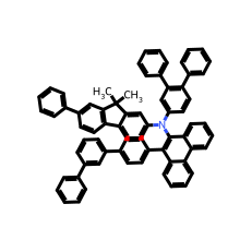 CC1(C)c2cc(-c3ccccc3)ccc2-c2ccc(N(c3ccc(-c4ccccc4)c(-c4ccccc4)c3)c3c(-c4ccc(-c5cccc(-c6ccccc6)c5)cc4)c4ccccc4c4ccccc34)cc21